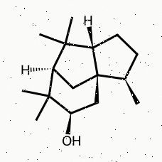 C[C@@H]1CC[C@H]2C(C)(C)[C@H]3C[C@@]12C[C@@H](O)C3(C)C